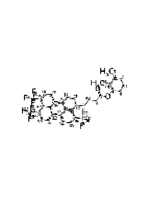 Cc1cccc(OC(=O)CCCc2ccc3c4ccc(C(F)(F)F)c5c(C(F)(F)F)ccc(c6ccc(C(F)(F)F)c2c36)c54)c1C